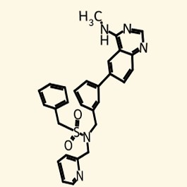 CNc1ncnc2ccc(-c3cccc(CN(Cc4ccccn4)S(=O)(=O)Cc4ccccc4)c3)cc12